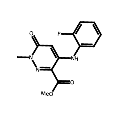 COC(=O)c1nn(C)c(=O)cc1Nc1ccccc1F